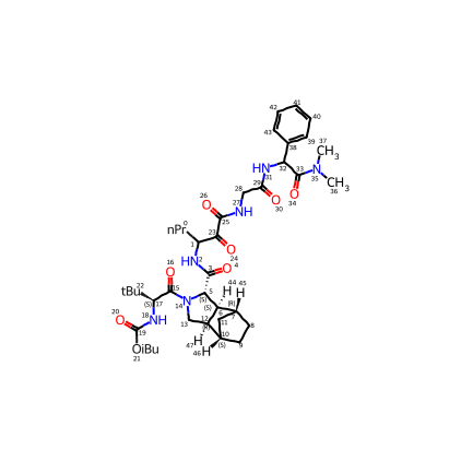 CCCC(NC(=O)[C@@H]1[C@H]2[C@@H]3CC[C@@H](C3)[C@H]2CN1C(=O)[C@@H](NC(=O)OCC(C)C)C(C)(C)C)C(=O)C(=O)NCC(=O)NC(C(=O)N(C)C)c1ccccc1